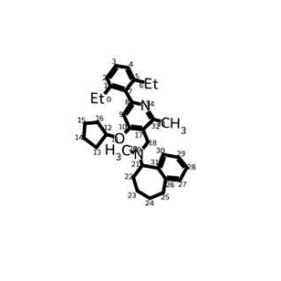 CCc1cccc(CC)c1-c1cc(OC2CCCC2)c(CN(C)C2CCCCc3ccccc32)c(C)n1